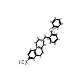 O=C(O)c1ccc2c(c1)CCC1CN(Cc3ccccc3Oc3ccccc3)CCN21